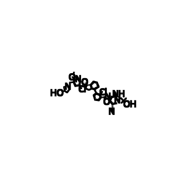 COc1nc(O[C@H]2CCc3c(-c4cccc(-c5nc6c(=N)n(CC(C)(C)O)cc(C#N)c6o5)c4Cl)cccc32)c(Cl)cc1CN1CC[C@@H](O)C1